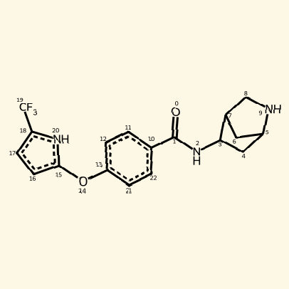 O=C(NC1CC2CC1CN2)c1ccc(Oc2ccc(C(F)(F)F)[nH]2)cc1